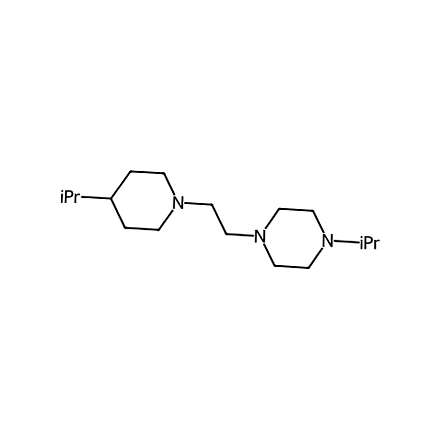 CC(C)C1CCN(CCN2CCN(C(C)C)CC2)CC1